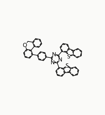 c1ccc2c(c1)COc1cccc(-c3ccc(-c4nc(-c5cccc6c5sc5ccccc56)nc(-c5cccc6c5sc5ccccc56)n4)cc3)c1-2